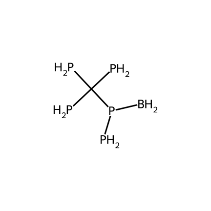 BP(P)C(P)(P)P